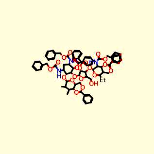 CCC1OC(OC2C(CO)OC(OC3C(OC(=O)c4ccccc4)C(NC(=O)OCc4ccccc4)CC(NC(=O)OCc4ccccc4)C3OC3OC4COC(c5ccccc5)OC4C(C)C3C)C2OC(=O)c2ccccc2)C(NC(=O)OCc2ccccc2)C(OC(=O)c2ccccc2)C1C